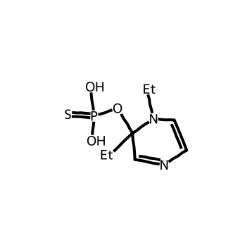 CCN1C=CN=CC1(CC)OP(O)(O)=S